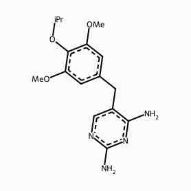 COc1cc(Cc2cnc(N)nc2N)cc(OC)c1OC(C)C